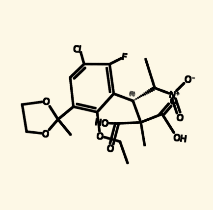 CCOc1c(C2(C)OCCO2)cc(Cl)c(F)c1[C@H](C(C)[N+](=O)[O-])C(C)(C(=O)O)C(=O)O